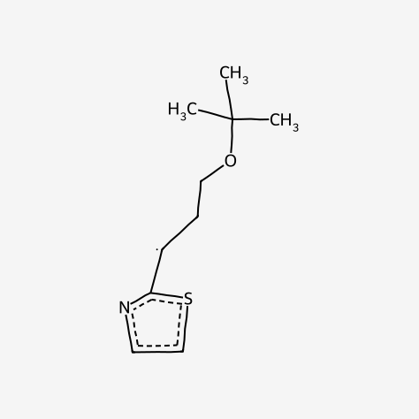 CC(C)(C)OCC[CH]c1nccs1